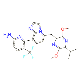 COC1=NC(C(C)C)C(OC)=NC1Cc1ccc(-c2nc(N)ccc2C(F)(F)F)c2nccn12